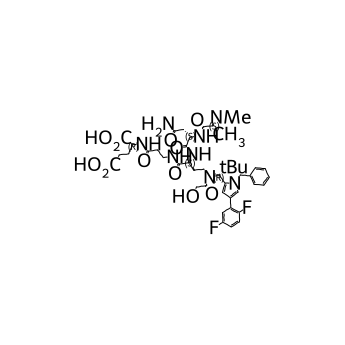 CN[C@@H](C)C(=O)N[C@@H](CC(N)=O)C(=O)N[C@@H](CCN(C(=O)CO)[C@@H](c1cc(-c2cc(F)ccc2F)cn1Cc1ccccc1)C(C)(C)C)C(=O)NCCC(=O)N[C@H](CCC(=O)O)C(=O)O